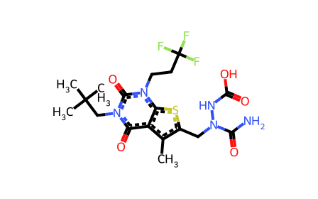 Cc1c(CN(NC(=O)O)C(N)=O)sc2c1c(=O)n(CC(C)(C)C)c(=O)n2CCC(F)(F)F